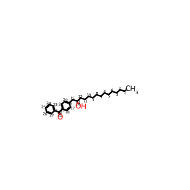 CCCCCCCCCCCCCC(O)Cc1ccc(C(=O)c2ccccc2)cc1